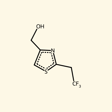 OCc1csc(CC(F)(F)F)n1